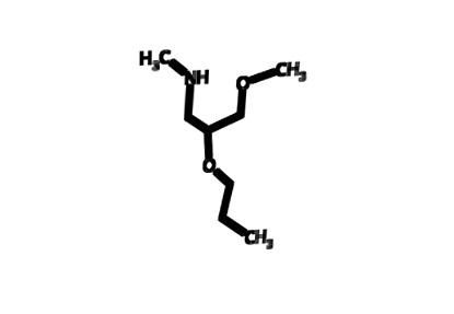 CCCOC(CNC)COC